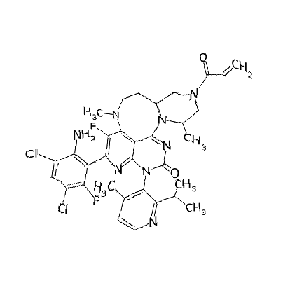 C=CC(=O)N1CC(C)N2c3nc(=O)n(-c4c(C)ccnc4C(C)C)c4nc(-c5c(N)c(Cl)cc(Cl)c5F)c(F)c(c34)N(C)CCC2C1